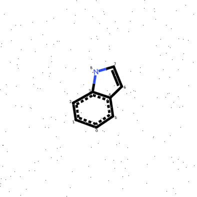 [c]1ccc2c(c1)C=C[N]2